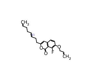 C=CCC/C=C/CCc1cc2ccc(OCC=C)c(F)c2c(=O)o1